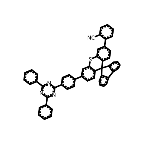 N#Cc1ccccc1-c1ccc2c(c1)Sc1cc(-c3ccc(-c4nc(-c5ccccc5)nc(-c5ccccc5)n4)cc3)ccc1C21c2ccccc2-c2ccccc21